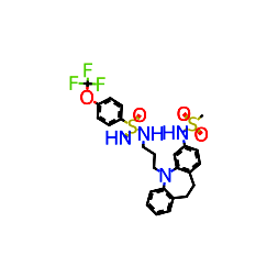 CS(=O)(=O)Nc1ccc2c(c1)N(CCCNS(=N)(=O)c1ccc(OC(F)(F)F)cc1)c1ccccc1CC2